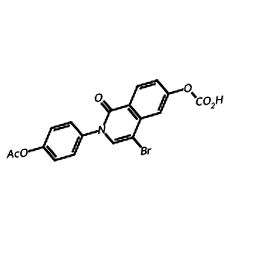 CC(=O)Oc1ccc(-n2cc(Br)c3cc(OC(=O)O)ccc3c2=O)cc1